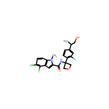 CC(CO)c1ccc(C2(NC(=O)c3cc4c(Cl)c(Cl)ccc4n3C)COC2)c(F)c1